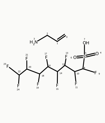 C=CCN.O=S(=O)(O)C(F)C(F)C(F)C(F)C(F)C(F)C(F)C(F)F